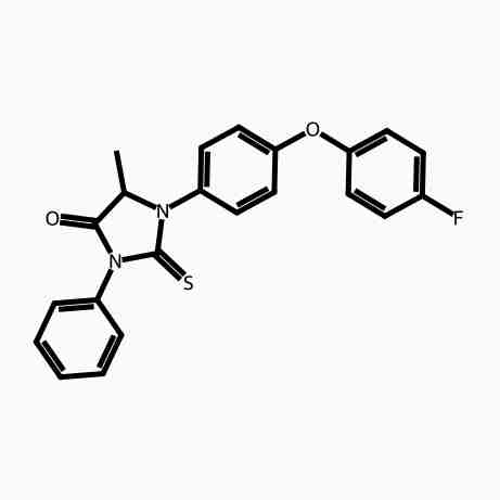 CC1C(=O)N(c2ccccc2)C(=S)N1c1ccc(Oc2ccc(F)cc2)cc1